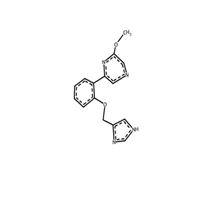 COc1cncc(-c2ccccc2OCc2c[nH]cn2)n1